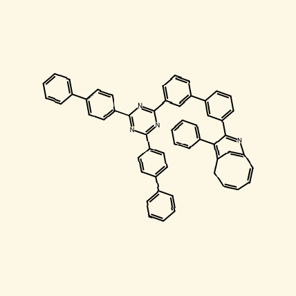 C1=C\Cc2cc(nc(-c3cccc(-c4cccc(-c5nc(-c6ccc(-c7ccccc7)cc6)nc(-c6ccc(-c7ccccc7)cc6)n5)c4)c3)c2-c2ccccc2)\C=C/1